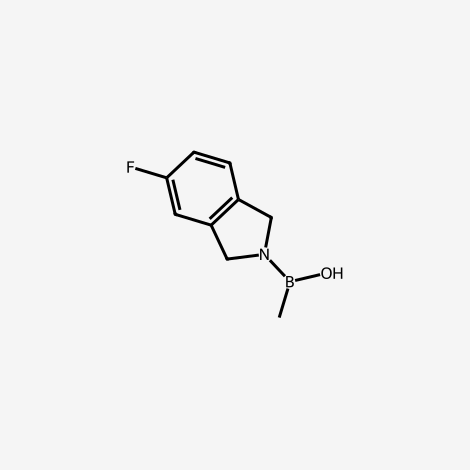 CB(O)N1Cc2ccc(F)cc2C1